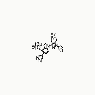 CC(=O)N1CCc2c(c(N3CCc4c3ccc(-c3cnn(C)c3)c4CO[Si](C)(C)C(C)(C)C)nn2C2CCOC2)C1